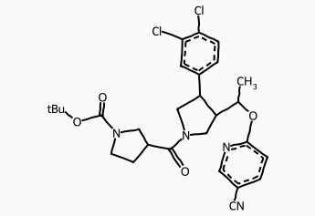 CC(Oc1ccc(C#N)cn1)C1CN(C(=O)C2CCN(C(=O)OC(C)(C)C)C2)CC1c1ccc(Cl)c(Cl)c1